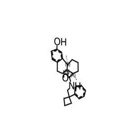 C[C@@]1(C(=O)NCC2(c3ccccc3)CCC2)CCC[C@]2(C)c3cc(O)ccc3CC[C@@H]12